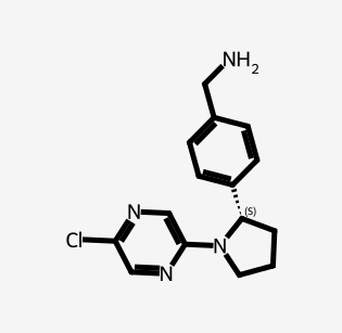 NCc1ccc([C@@H]2CCCN2c2cnc(Cl)cn2)cc1